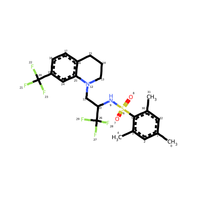 Cc1cc(C)c(S(=O)(=O)NC(CN2CCCc3ccc(C(F)(F)F)cc32)C(F)(F)F)c(C)c1